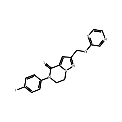 O=C1c2cc(COc3cnccn3)nn2CCN1c1ccc(F)cc1